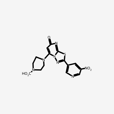 O=C(O)N1CCN(c2cc(=O)nc3sc(-c4cncc([N+](=O)[O-])c4)nn23)CC1